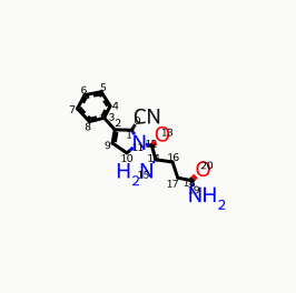 N#CC1C(c2ccccc2)=CCN1C(=O)[C@@H](N)CCC(N)=O